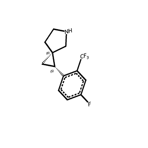 Fc1ccc([C@@H]2C[C@@]23CCNC3)c(C(F)(F)F)c1